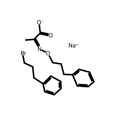 BrCCCc1ccccc1.CC(=NOCCCc1ccccc1)C(=O)[O-].[Na+]